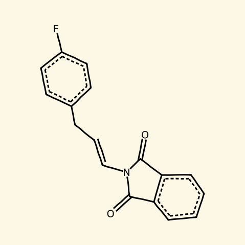 O=C1c2ccccc2C(=O)N1C=CCc1ccc(F)cc1